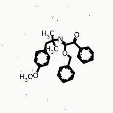 COc1ccc(CC(C)(C)N=C(OCc2ccccc2)C(=O)c2ccccc2)cc1